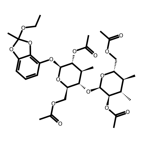 CCOC1(C)Oc2cccc(O[C@@H]3O[C@H](COC(C)=O)[C@@H](O[C@H]4O[C@H](COC(C)=O)[C@@H](C)[C@H](C)[C@H]4OC(C)=O)[C@H](C)[C@H]3OC(C)=O)c2O1